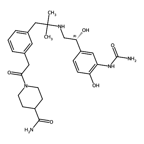 CC(C)(Cc1cccc(CC(=O)N2CCC(C(N)=O)CC2)c1)NC[C@H](O)c1ccc(O)c(NC(N)=O)c1